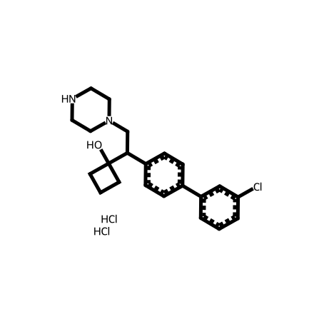 Cl.Cl.OC1(C(CN2CCNCC2)c2ccc(-c3cccc(Cl)c3)cc2)CCC1